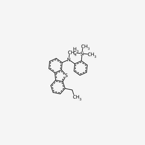 CCc1cccc2c1sc1c(N(C)c3ccccc3[Si](C)(C)C)cccc12